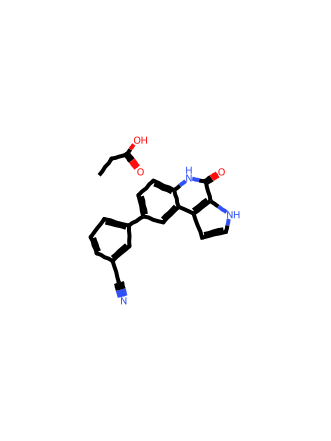 CCC(=O)O.N#Cc1cccc(-c2ccc3[nH]c(=O)c4[nH]ccc4c3c2)c1